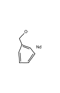 [Nd].[O]Cc1ccccc1